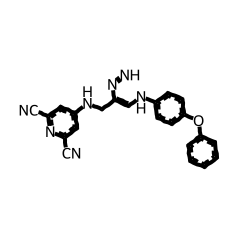 N#Cc1cc(NC/C(=C/Nc2ccc(Oc3ccccc3)cc2)N=N)cc(C#N)n1